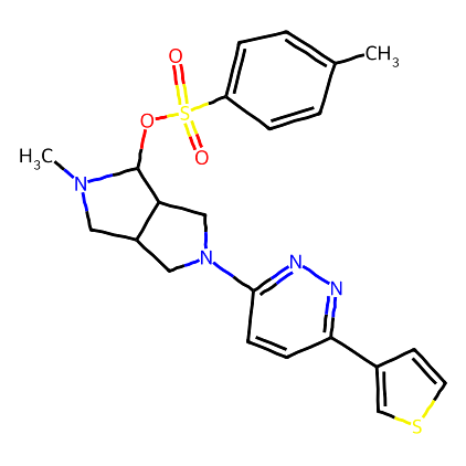 Cc1ccc(S(=O)(=O)OC2C3CN(c4ccc(-c5ccsc5)nn4)CC3CN2C)cc1